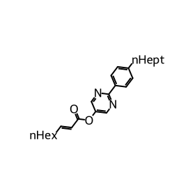 CCCCCC/C=C/C(=O)Oc1cnc(-c2ccc(CCCCCCC)cc2)nc1